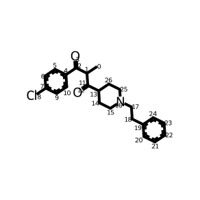 CC(C(=O)c1ccc(Cl)cc1)C(=O)C1CCN(CCc2ccccc2)CC1